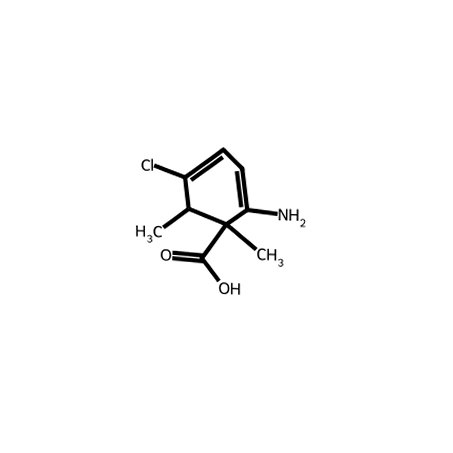 CC1C(Cl)=CC=C(N)C1(C)C(=O)O